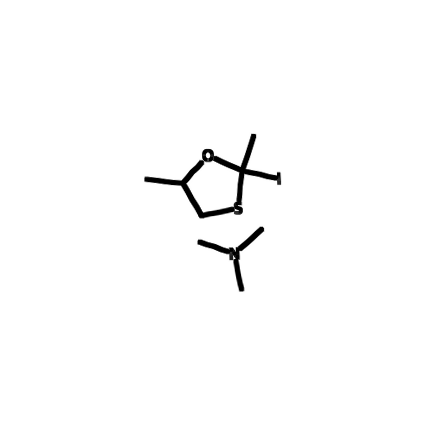 CC1CSC(C)(I)O1.CN(C)C